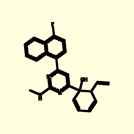 C=CC1C=CC=CC1(O)c1cc(-c2ccc(F)c3ccccc23)nc(NC)n1